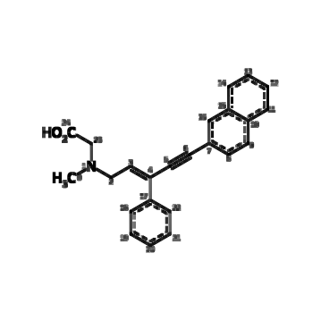 CN(CC=C(C#Cc1ccc2ccccc2c1)c1ccccc1)CC(=O)O